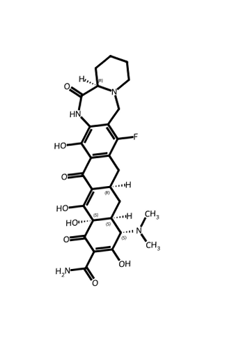 CN(C)[C@@H]1C(O)=C(C(N)=O)C(=O)[C@@]2(O)C(O)=C3C(=O)c4c(O)c5c(c(F)c4C[C@H]3C[C@@H]12)CN1CCCC[C@@H]1C(=O)N5